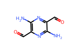 Nc1nc(C=O)c(N)nc1C=O